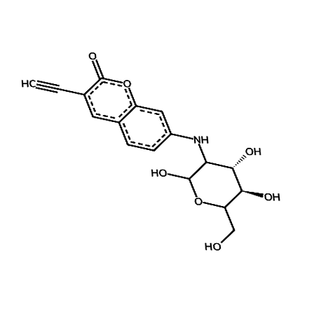 C#Cc1cc2ccc(NC3C(O)OC(CO)[C@H](O)[C@H]3O)cc2oc1=O